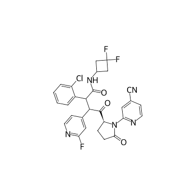 N#Cc1ccnc(N2C(=O)CC[C@H]2C(=O)C(c2ccnc(F)c2)C(C(=O)NC2CC(F)(F)C2)c2ccccc2Cl)c1